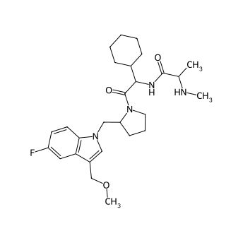 CNC(C)C(=O)NC(C(=O)N1CCCC1Cn1cc(COC)c2cc(F)ccc21)C1CCCCC1